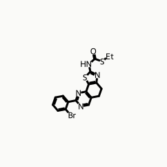 CCSC(=O)Nc1nc2c(s1)-c1nc(-c3ccccc3Br)ncc1CC2